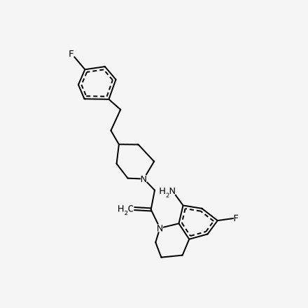 C=C(CN1CCC(CCc2ccc(F)cc2)CC1)N1CCCc2cc(F)cc(N)c21